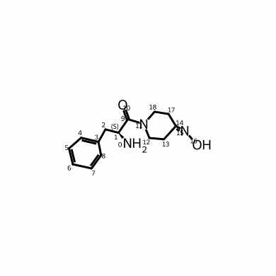 N[C@@H](Cc1ccccc1)C(=O)N1CCC(=NO)CC1